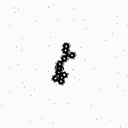 C1=CC2=C(CC1)C1(c3ccccc32)c2ccccc2-c2cc3c(cc21)Oc1cc(-c2ccc(N(c4ccccc4)c4ccc5ccccc5c4)cc2)ccc1O3